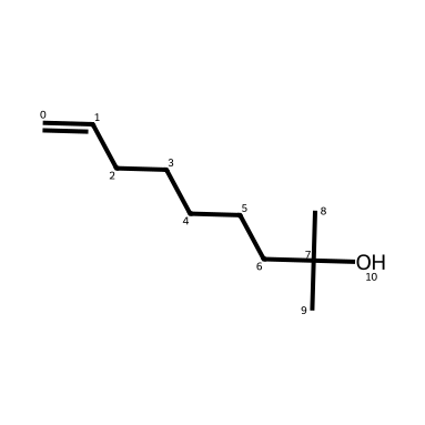 C=CCCCCCC(C)(C)O